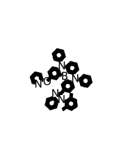 Cc1cccc(C)c1-n1c(-c2ccc3c(c2)B2c4cc(Oc5ccccn5)ccc4N(c4ccccc4)c4cccc(c42)N3c2ccccc2)nc2ccccc21